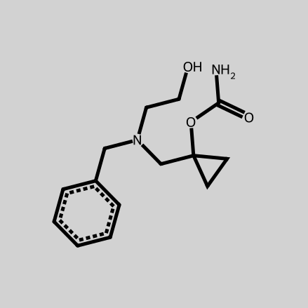 NC(=O)OC1(CN(CCO)Cc2ccccc2)CC1